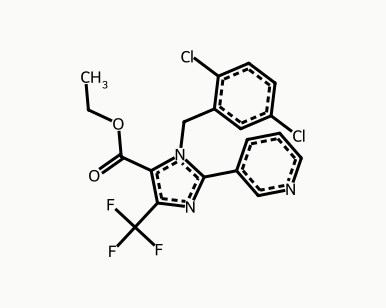 CCOC(=O)c1c(C(F)(F)F)nc(-c2cccnc2)n1Cc1cc(Cl)ccc1Cl